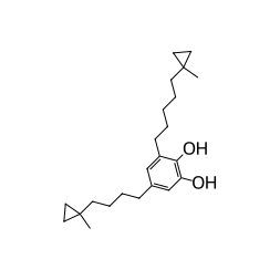 CC1(CCCCCc2cc(CCCCC3(C)CC3)cc(O)c2O)CC1